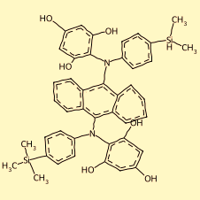 C[SiH](C)c1ccc(N(c2c(O)cc(O)cc2O)c2c3ccccc3c(N(c3ccc([Si](C)(C)C)cc3)c3c(O)cc(O)cc3O)c3ccccc23)cc1